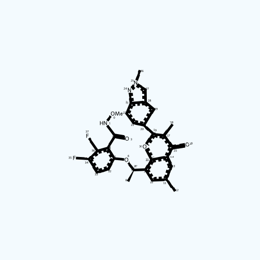 CONC(=O)c1c(O[C@H](C)c2cc(C)cc3c(=O)c(C)c(-c4ccc5nn(C)cc5c4)oc23)ccc(F)c1F